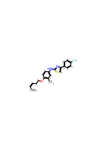 CCCC/C=C\CCOc1ccc(Nc2nc(-c3ccc(F)cc3)cs2)cc1C(F)(F)F